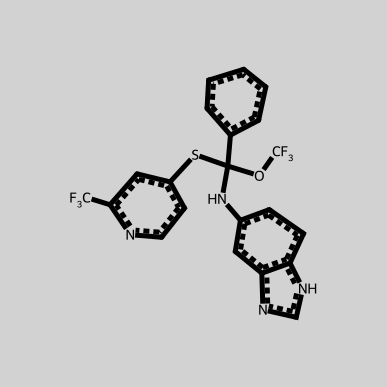 FC(F)(F)OC(Nc1ccc2[nH]cnc2c1)(Sc1ccnc(C(F)(F)F)c1)c1ccccc1